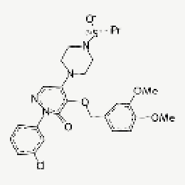 COc1ccc(COc2c(N3CCN([S@+]([O-])C(C)C)CC3)cnn(-c3cccc(Cl)c3)c2=O)cc1OC